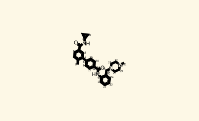 Cc1ccc(C(=O)NC2CC2)cc1-c1ccc(C(=O)Nc2ccccc2CN2CCN(C)CC2)cc1